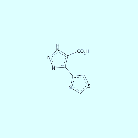 O=C(O)c1[nH]nnc1-c1cscn1